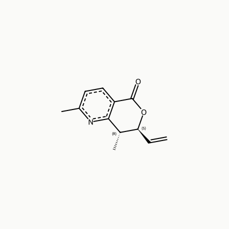 C=C[C@@H]1OC(=O)c2ccc(C)nc2[C@H]1C